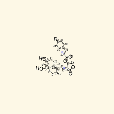 C=C1CCC2[C@](C)(CO)[C@H](O)CC[C@@]2(C)[C@@H]1C/C=C1/C(=O)OCC1OC(=O)/C=C/c1ccc(F)cc1